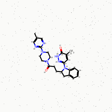 Cc1cnc(N2CCN(C(=O)CCC3Cc4ccccc4N3c3cc(C(F)(F)F)c(=O)[nH]n3)CC2)nc1